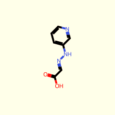 O=C(O)C=NNc1cccnc1